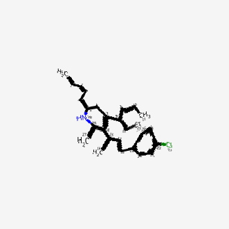 C=C/C=C\C=C1/CC(C(/C=C\C)=C/CC)=C(C(=C)/C=C/c2ccc(Cl)cc2)C(=C)N1